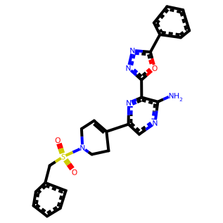 Nc1ncc(C2=CCN(S(=O)(=O)Cc3ccccc3)CC2)nc1-c1nnc(-c2ccccc2)o1